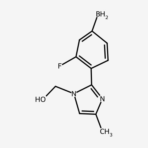 Bc1ccc(-c2nc(C)cn2CO)c(F)c1